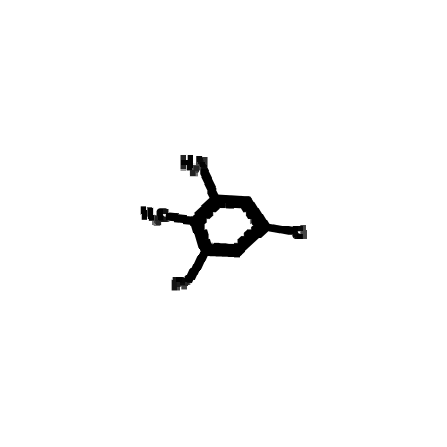 Cc1c(N)cc(Cl)cc1C(C)C